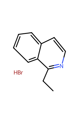 Br.CCc1nccc2ccccc12